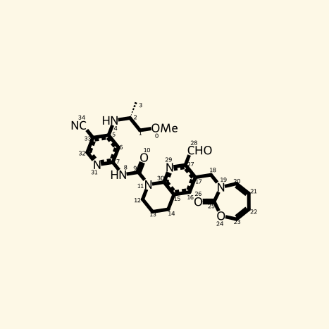 COC[C@@H](C)Nc1cc(NC(=O)N2CCCc3cc(CN4C=CC=COC4=O)c(C=O)nc32)ncc1C#N